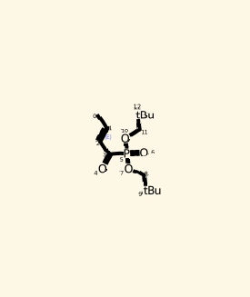 C/C=C/C(=O)P(=O)(OCC(C)(C)C)OCC(C)(C)C